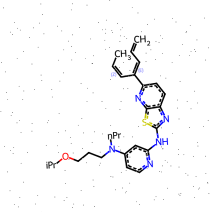 C=C/C=C(\C=C/C)c1ccc2nc(Nc3cc(N(CCC)CCCOC(C)C)ccn3)sc2n1